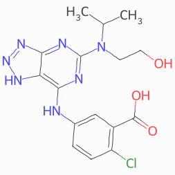 CC(C)N(CCO)c1nc(Nc2ccc(Cl)c(C(=O)O)c2)c2[nH]nnc2n1